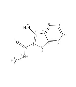 CNC(=O)c1sc2ccccc2c1N